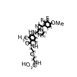 COc1ccc(-c2cnc3c(Nc4cc(C)c(C(=O)NCCOCCNC(=O)O)c(F)c4)nccn23)c(F)c1F